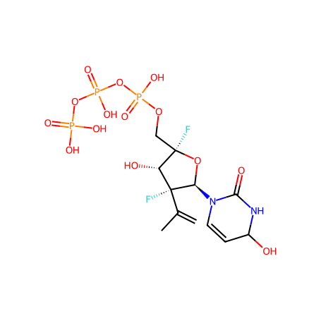 C=C(C)[C@]1(F)[C@H](N2C=CC(O)NC2=O)O[C@](F)(COP(=O)(O)OP(=O)(O)OP(=O)(O)O)[C@H]1O